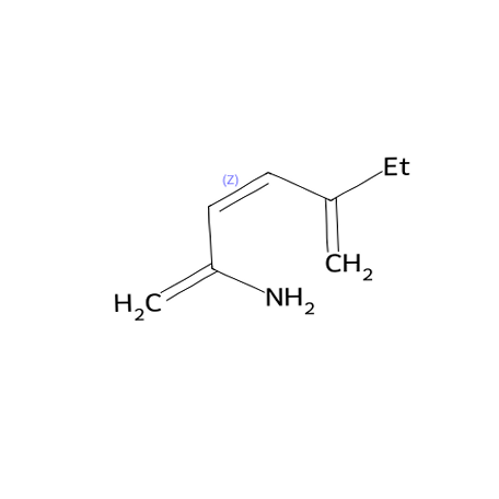 C=C(N)/C=C\C(=C)CC